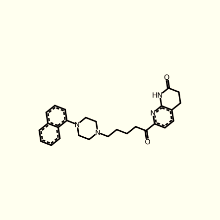 O=C1CCc2ccc(C(=O)CCCCN3CCN(c4cccc5ccccc45)CC3)nc2N1